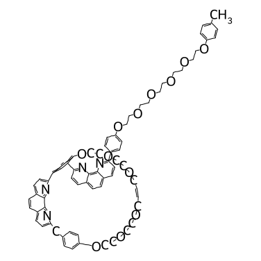 Cc1ccc(OCCOCCOCCOCCOCCOc2ccc(-c3ccc4ccc5ccc(-c6cc7ccc6OCCOCCOCC=CCOCCOCCOc6ccc(cc6)Cc6ccc8ccc9ccc-7nc9c8n6)nc5c4n3)cc2)cc1